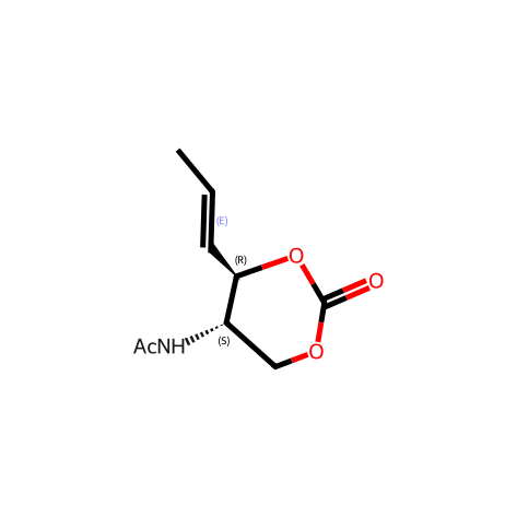 C/C=C/[C@H]1OC(=O)OC[C@@H]1NC(C)=O